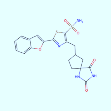 NS(=O)(=O)c1sc(-c2cc3ccccc3o2)nc1CC1CCC2(C1)NC(=O)NC2=O